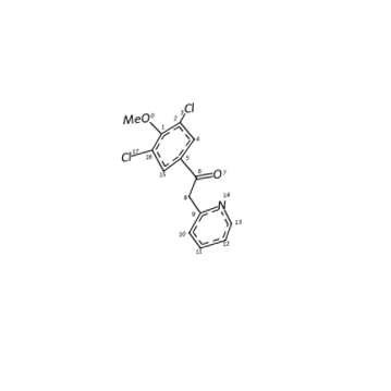 COc1c(Cl)cc(C(=O)Cc2ccccn2)cc1Cl